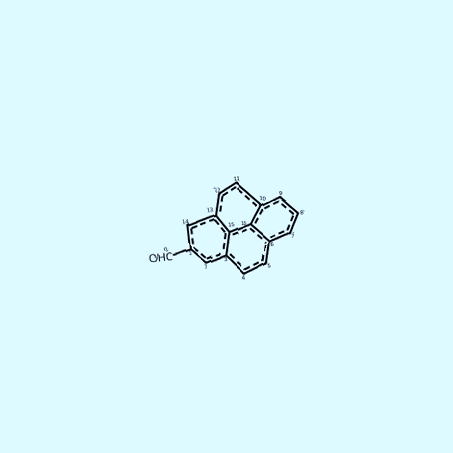 O=Cc1cc2ccc3[c]ccc4ccc(c1)c2c34